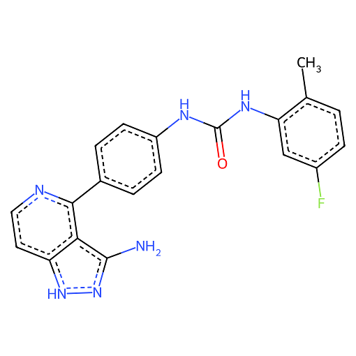 Cc1ccc(F)cc1NC(=O)Nc1ccc(-c2nccc3[nH]nc(N)c23)cc1